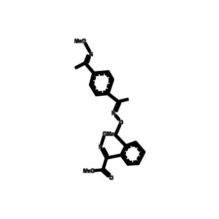 CO/N=C(\C)c1ccc(/C(C)=N/OCc2ccccc2/C(=N\OC)C(=O)OC)cc1